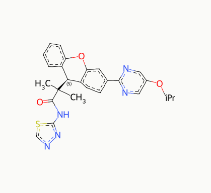 CC(C)Oc1cnc(-c2ccc3c(c2)Oc2ccccc2[C@@H]3C(C)(C)C(=O)Nc2nncs2)nc1